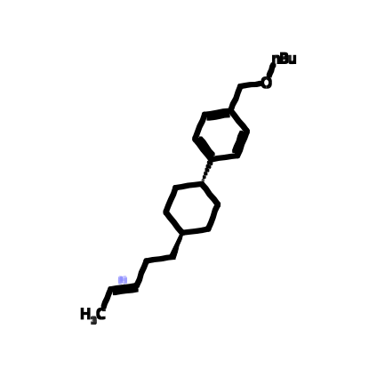 C/C=C/CC[C@H]1CC[C@H](c2ccc(COCCCC)cc2)CC1